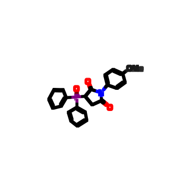 COc1ccc(N2C(=O)CC(P(=O)(c3ccccc3)c3ccccc3)C2=O)cc1